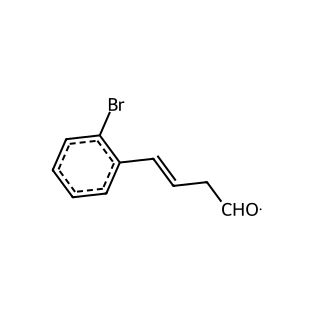 O=[C]CC=Cc1ccccc1Br